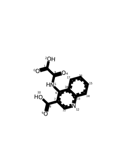 O=C(O)C(=O)Nc1c(C(=O)O)cnc2ccccc12